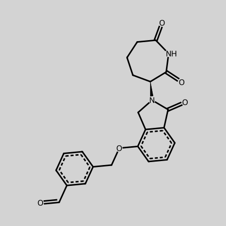 O=Cc1cccc(COc2cccc3c2CN([C@H]2CCCC(=O)NC2=O)C3=O)c1